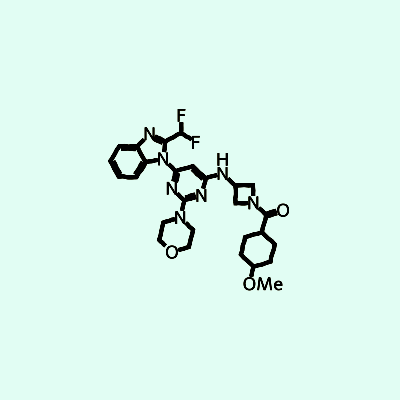 COC1CCC(C(=O)N2CC(Nc3cc(-n4c(C(F)F)nc5ccccc54)nc(N4CCOCC4)n3)C2)CC1